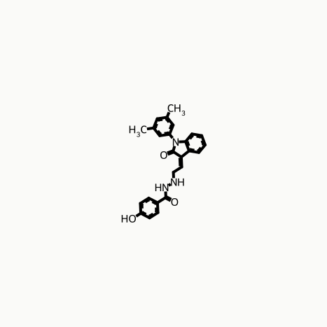 Cc1cc(C)cc(N2C(=O)C(=CCNNC(=O)c3ccc(O)cc3)c3ccccc32)c1